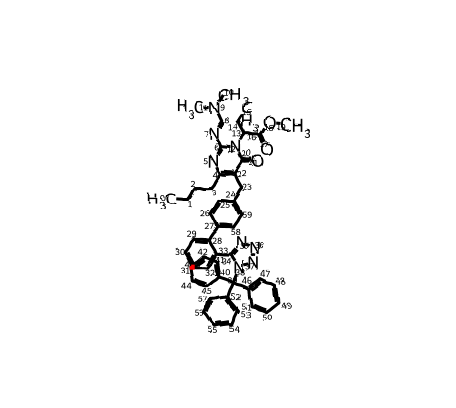 CCCCc1nc(N=CN(C)C)n(C(CC)C(=O)OC)c(=O)c1Cc1ccc(-c2ccccc2-c2nnnn2C(c2ccccc2)(c2ccccc2)c2ccccc2)cc1